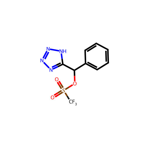 O=S(=O)(OC(c1ccccc1)c1nnn[nH]1)C(F)(F)F